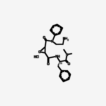 CN(C)C(=O)[C@H](Cc1ccccc1)NC(=O)C1OC1C(=O)N(CCN)c1ccccc1.Cl